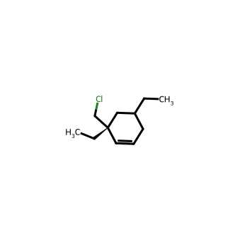 CCC1CC=C[C@](CC)(CCl)C1